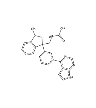 O=C(O)NCC1(c2cccc(-c3ncnc4[nH]ccc34)c2)CC(O)c2ccccc21